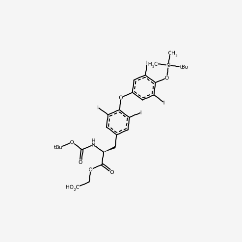 CC(C)(C)OC(=O)N[C@@H](Cc1cc(I)c(Oc2cc(I)c(O[Si](C)(C)C(C)(C)C)c(I)c2)c(I)c1)C(=O)OCC(=O)O